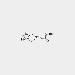 CC(C)(C)OC(=O)CCN1CCc2[nH]nnc2C1